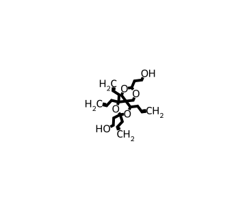 C=CCC1OC(CC=C)(CCO)OC(CC=C)(CC=C)C12COC(CCO)OC2